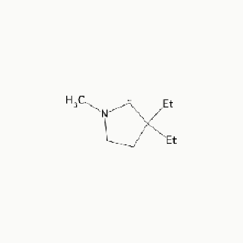 CCC1(CC)[C]N(C)CC1